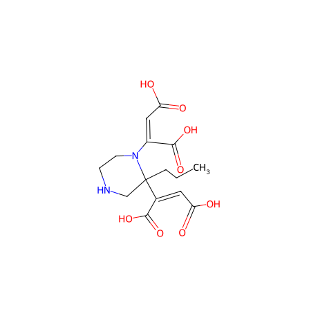 CCCC1(C(=CC(=O)O)C(=O)O)CNCCN1C(=CC(=O)O)C(=O)O